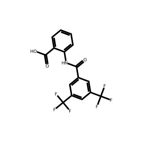 O=C(Nc1ccccc1C(=O)O)c1cc(C(F)(F)F)cc(C(F)(F)F)c1